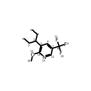 CCC(CC)c1cc(C(F)(F)F)cnc1OC